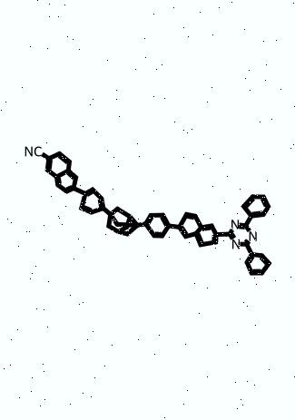 N#Cc1ccc2cc(-c3ccc(C45CC6CC(C4)C(c4ccc(-c7ccc8cc(-c9nc(-c%10ccccc%10)nc(-c%10ccccc%10)n9)ccc8c7)cc4)(C6)C5)cc3)ccc2c1